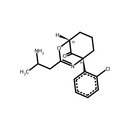 CC(N)CC1=N[C@@]2(c3ccccc3Cl)CCC[C@@H](O1)C2=O